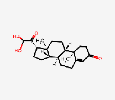 C[C@]12CC[C@H]3[C@@H](CCC4=CC(=O)CC[C@@]43C)[C@@H]1CC[C@@H]2C(=O)C(O)O